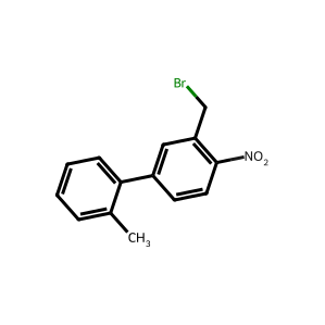 Cc1ccccc1-c1ccc([N+](=O)[O-])c(CBr)c1